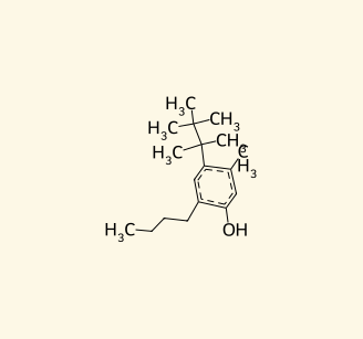 CCCCc1cc(C(C)(C)C(C)(C)C)c(C)cc1O